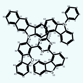 c1ccc(-n2c3ccccc3c3c(-c4nc(-c5c(-n6c7ccccc7c7cc8ccccc8cc76)ccc6c5oc5ccccc56)nc(-c5cccc6sc7ccccc7c56)n4)cccc32)cc1